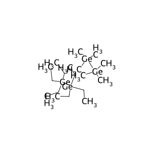 C[CH2][Ge]([CH2]C)([CH2]C)[Ge]([CH2]C)([CH2]C)[CH2]C.[CH3][Ge]([CH3])([CH3])[Ge]([CH3])([CH3])[CH3]